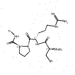 CCNC(=O)[C@@H]1CCCN1C(=O)[C@H](CCCNC(=N)N)NC(=O)[C@H](CC(C)C)NC(C)=O